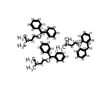 CN(C)CCOC(c1ccccc1)c1ccccc1.CN(C)CCOC(c1ccccc1)c1ccccc1.CN(C)CCOc1ccccc1Cc1ccccc1